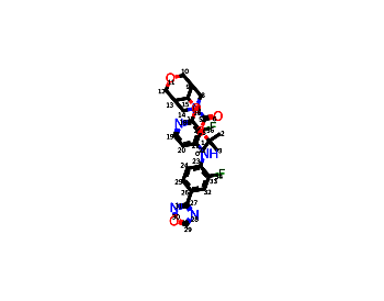 CC(C)(C)OC(=O)N1CC2COCC(C1)C2Oc1nccc(Nc2ccc(-c3ncon3)cc2F)c1F